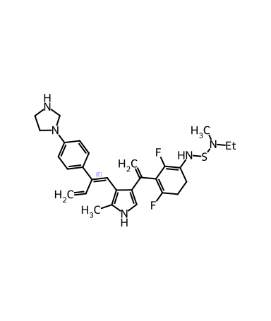 C=C/C(=C\c1c(C(=C)C2=C(F)CCC(NSN(C)CC)=C2F)c[nH]c1C)c1ccc(N2CCNC2)cc1